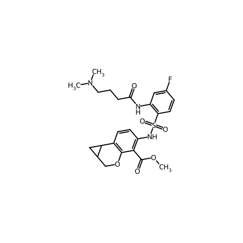 COC(=O)c1c(NS(=O)(=O)c2ccc(F)cc2NC(=O)CCCN(C)C)ccc2c1OCC1CC21